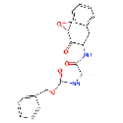 CC(NC(=O)OCc1ccccc1)C(=O)NC(Cc1ccccc1)C(=O)C1CO1